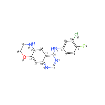 Fc1ccc(Nc2ncnc3cc4c(cc23)NCCO4)cc1Cl